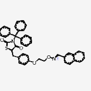 O=C1SC(Cc2ccc(OCCO/N=C/c3ccc4ccccc4c3)cc2)C(=O)N1C(c1ccccc1)(c1ccccc1)c1ccccc1